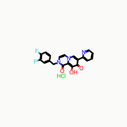 Cl.O=c1c(-c2ccccn2)cn2ccn(Cc3ccc(F)c(F)c3)c(=O)c2c1O